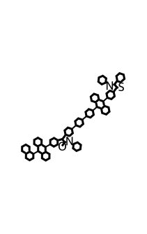 c1ccc(-n2c3cc(-c4ccc(-c5ccc(-c6c7ccccc7c(-c7ccc8c9sc%10ccccc%10c9n(-c9ccccc9)c8c7)c7ccccc67)cc5)cc4)ccc3c3c4ccc(-c5c6ccccc6c(-c6cccc7ccccc67)c6ccccc56)cc4oc32)cc1